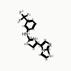 FC(F)(F)c1cccc(Nc2nc(-c3cnc4sccn34)cs2)c1